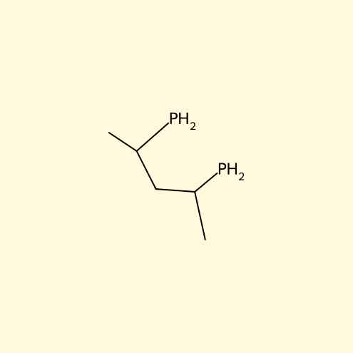 CC(P)CC(C)P